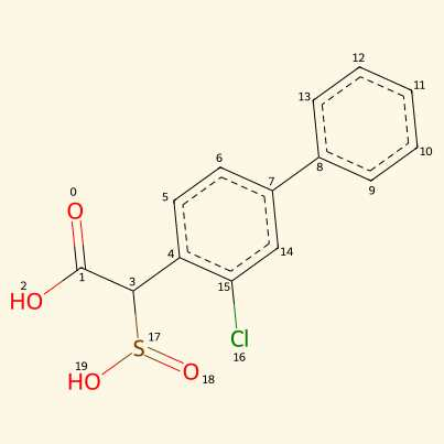 O=C(O)C(c1ccc(-c2ccccc2)cc1Cl)S(=O)O